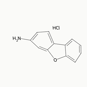 Cl.Nc1ccc2c(c1)oc1ccccc12